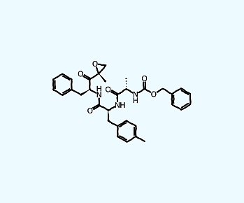 Cc1ccc(C[C@H](NC(=O)[C@H](C)NC(=O)OCc2ccccc2)C(=O)N[C@@H](Cc2ccccc2)C(=O)[C@@]2(C)CO2)cc1